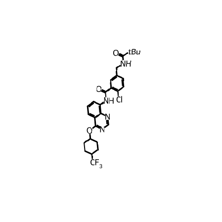 CC(C)(C)C(=O)NCc1ccc(Cl)c(C(=O)Nc2cccc3c(OC4CCC(C(F)(F)F)CC4)ncnc23)c1